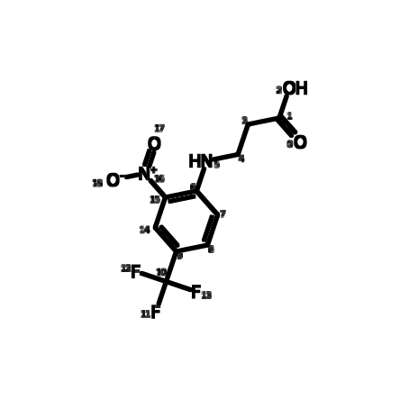 O=C(O)CCNc1ccc(C(F)(F)F)cc1[N+](=O)[O-]